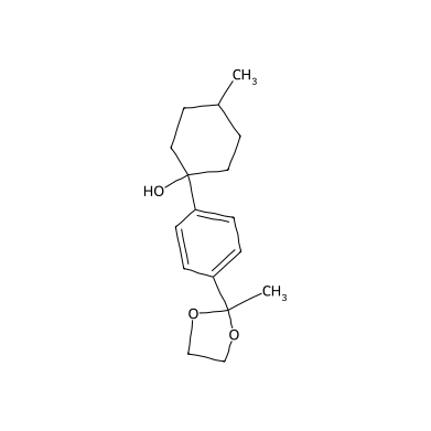 CC1CCC(O)(c2ccc(C3(C)OCCO3)cc2)CC1